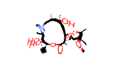 CC[C@H]1OC(=O)[C@H](C)[C@@H](CC2(O)C[C@@](C)(OC)C[C@H](C)O2)[C@H](C)C[C@](C)(O)C[C@@H](C)CN(C)[C@H](C)[C@@H](O)[C@]1(C)O